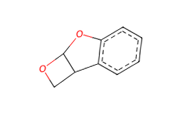 c1ccc2c(c1)OC1OCC21